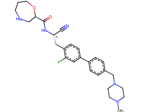 CN1CCN(Cc2ccc(-c3ccc(C[C@@H](C#N)NC(=O)C4CNCCCO4)c(F)c3)cc2)CC1